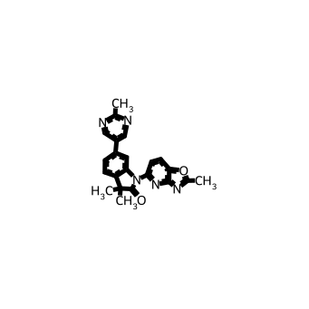 Cc1ncc(-c2ccc3c(c2)N(c2ccc4oc(C)nc4n2)C(=O)C3(C)C)cn1